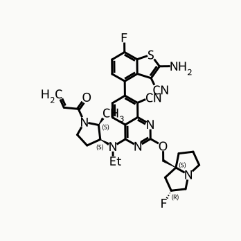 C=CC(=O)N1CC[C@H](N(CC)c2nc(OC[C@@]34CCCN3C[C@H](F)C4)nc3c(C#N)c(-c4ccc(F)c5sc(N)c(C#N)c45)ccc23)[C@@H]1C